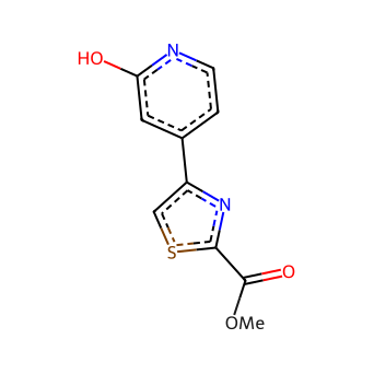 COC(=O)c1nc(-c2ccnc(O)c2)cs1